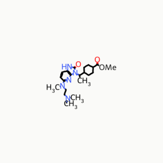 COC(=O)C1CCC(C(C)n2c(=O)[nH]c3ccc(N(C)CCN(C)C)nc32)CC1